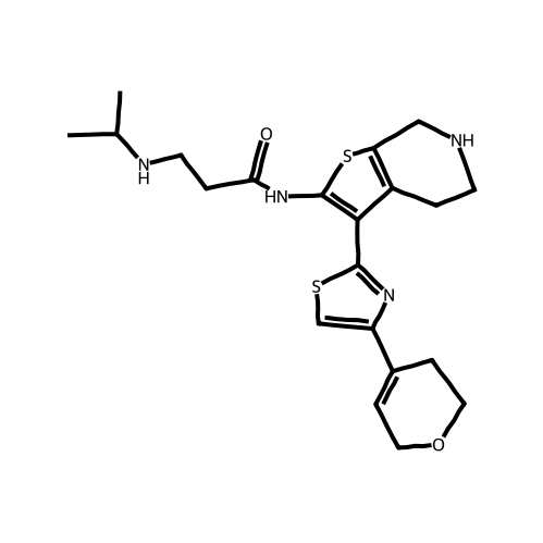 CC(C)NCCC(=O)Nc1sc2c(c1-c1nc(C3=CCOCC3)cs1)CCNC2